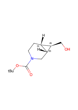 CC(C)(C)OC(=O)N1CC[C@@H]2[C@@H](CO)[C@@H]2C1